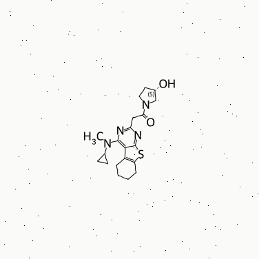 CN(c1nc(CC(=O)N2CC[C@H](O)C2)nc2sc3c(c12)CCCC3)C1CC1